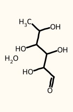 CC(O)C(O)C(O)C(O)C=O.O